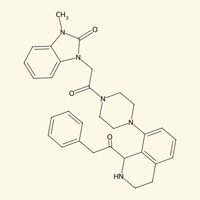 Cn1c(=O)n(CC(=O)N2CCN(c3cccc4c3C(C(=O)Cc3ccccc3)NCC4)CC2)c2ccccc21